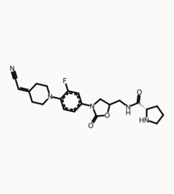 N#CC=C1CCN(c2ccc(N3CC(CNC(=O)[C@@H]4CCCN4)OC3=O)cc2F)CC1